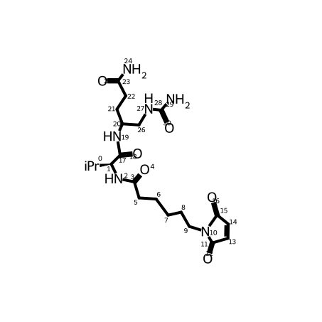 CC(C)[C@H](NC(=O)CCCCCN1C(=O)C=CC1=O)C(=O)NC(CCC(N)=O)CNC(N)=O